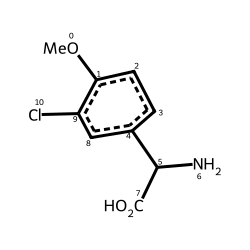 COc1ccc(C(N)C(=O)O)cc1Cl